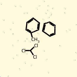 Cc1ccccc1.ClC(Cl)Cl.c1ccccc1